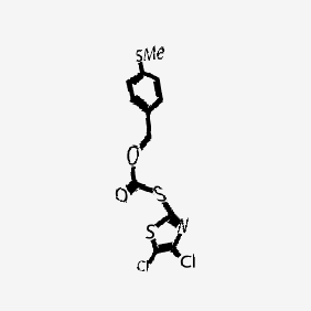 CSc1ccc(COC(=O)Sc2nc(Cl)c(Cl)s2)cc1